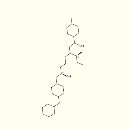 CC[C@H](C)C(CCC[C@@H](O)CC1CCC(CC2CCCCC2)CC1)CC(O)C1CCC(C)CC1